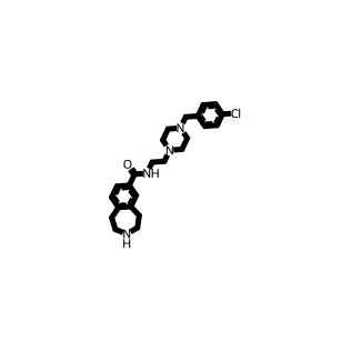 O=C(NCCN1CCN(Cc2ccc(Cl)cc2)CC1)c1ccc2c(c1)CCNCC2